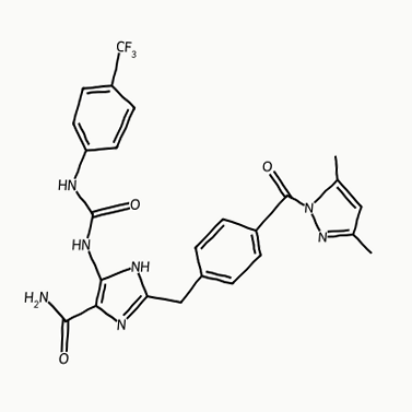 Cc1cc(C)n(C(=O)c2ccc(Cc3nc(C(N)=O)c(NC(=O)Nc4ccc(C(F)(F)F)cc4)[nH]3)cc2)n1